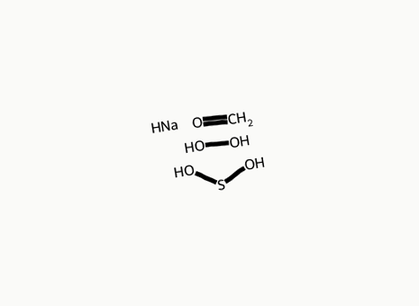 C=O.OO.OSO.[NaH]